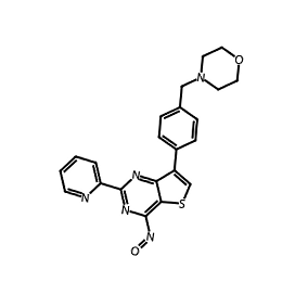 O=Nc1nc(-c2ccccn2)nc2c(-c3ccc(CN4CCOCC4)cc3)csc12